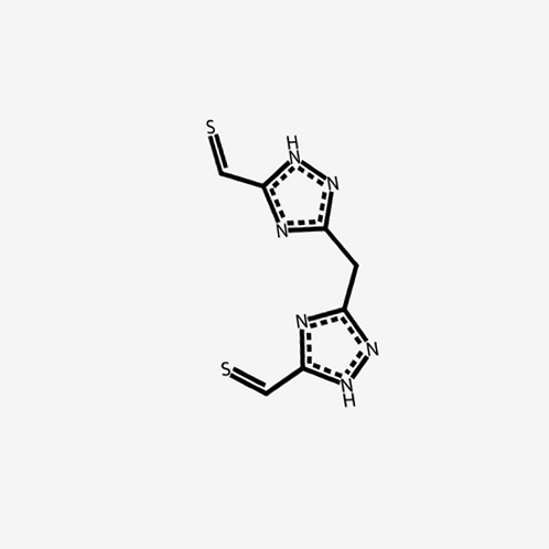 S=Cc1nc(Cc2n[nH]c(C=S)n2)n[nH]1